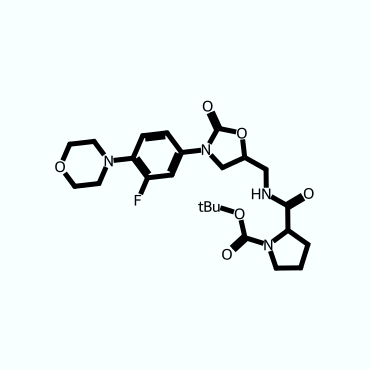 CC(C)(C)OC(=O)N1CCCC1C(=O)NCC1CN(c2ccc(N3CCOCC3)c(F)c2)C(=O)O1